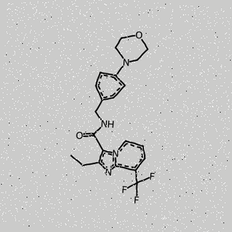 CCc1nc2c(C(F)(F)F)cccn2c1C(=O)NCc1ccc(N2CCOCC2)cc1